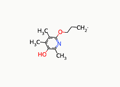 [CH2]CCOc1nc(C)c(O)c(C)c1C